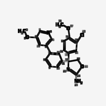 COc1cncc(-c2cccc([C@]3(c4ccc(OC)c(Cl)c4)COC(N)=N3)c2)c1